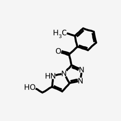 Cc1ccccc1C(=O)c1nnc2cc(CO)[nH]n12